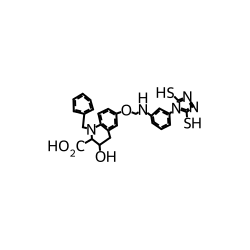 O=C(O)C1C(O)Cc2cc(OCNc3cccc(-n4c(S)nnc4S)c3)ccc2N1Cc1ccccc1